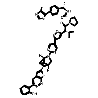 Cc1ncsc1-c1ccc([C@H](C)NC(=O)[C@@H]2CCCN2C(=O)[C@@H](c2cc(-c3cnc(N4C[C@H]5[C@@H](C)[C@@H]4C[C@@H]5c4cc5cc(-c6ccccc6O)nnc5s4)nc3)no2)C(C)C)cc1